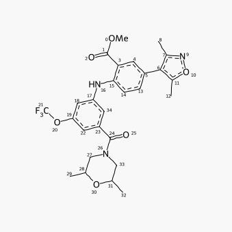 COC(=O)c1cc(-c2c(C)noc2C)ccc1Nc1cc(OC(F)(F)F)cc(C(=O)N2CC(C)OC(C)C2)c1